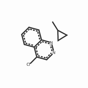 CC1CC1.Clc1cnnc2ccccc12